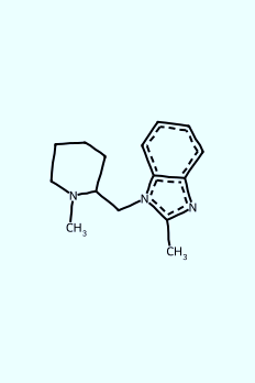 Cc1nc2ccccc2n1CC1CCCCN1C